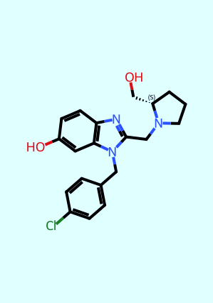 OC[C@@H]1CCCN1Cc1nc2ccc(O)cc2n1Cc1ccc(Cl)cc1